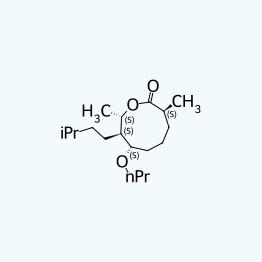 CCCO[C@H]1CCC[C@H](C)C(=O)O[C@@H](C)[C@@H]1CCC(C)C